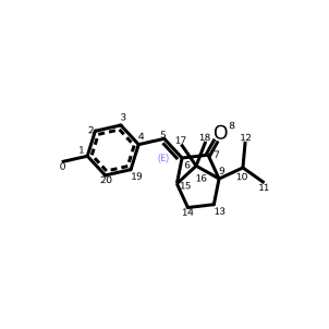 Cc1ccc(/C=C2/C(=O)C3(C(C)C)CCC2C3(C)C)cc1